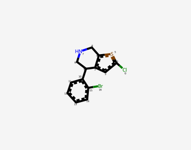 Clc1cc2c(s1)CNCC2c1ccccc1Br